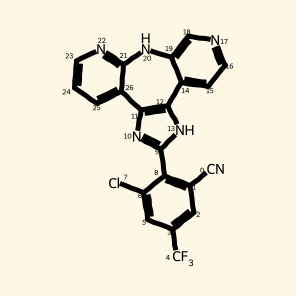 N#Cc1cc(C(F)(F)F)cc(Cl)c1-c1nc2c([nH]1)-c1ccncc1Nc1ncccc1-2